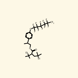 CCC(C)(C)CC(C(=O)OCC(C)c1ccc(OC(F)(F)C(F)(F)C(F)(F)C(F)(F)C(F)(F)C(F)(F)F)cc1)C(C)(C)CC